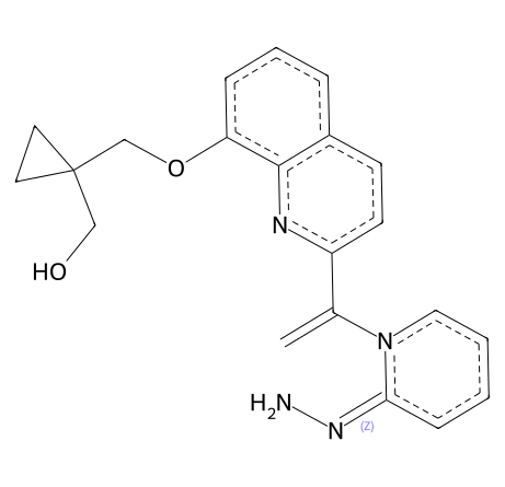 C=C(c1ccc2cccc(OCC3(CO)CC3)c2n1)n1cccc/c1=N/N